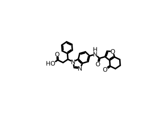 O=C(O)CC(c1ccccc1)n1cnc2cc(NC(=O)c3coc4c3C(=O)CCC4)ccc21